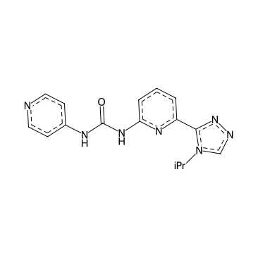 CC(C)n1cnnc1-c1cccc(NC(=O)Nc2ccncc2)n1